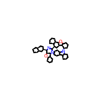 c1ccc2cc(-c3nc(-c4cc5c(oc6cccc(-n7c8ccccc8c8ccccc87)c65)c5ccccc45)nc4c3oc3ccccc34)ccc2c1